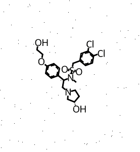 CN(C(CN1CC[C@H](O)C1)c1ccc(OCCO)cc1)S(=O)(=O)Cc1ccc(Cl)c(Cl)c1